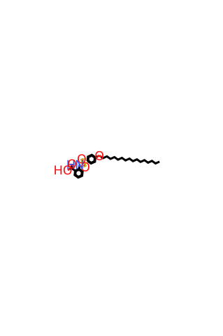 CCCCCCCCCCCCCCCCOc1ccc(S(=O)(=O)Nc2ccccc2C(=O)O)cc1